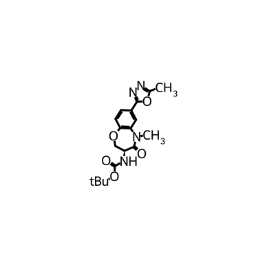 Cc1nnc(-c2ccc3c(c2)N(C)C(=O)[C@@H](NC(=O)OC(C)(C)C)CO3)o1